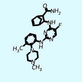 Cc1cccc(Nc2ncc(F)c(NC3C4C=CC(C4)C3C(N)=O)n2)c1N1CCN(C)CC1